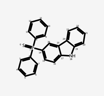 S=P(c1ccccc1)(c1ccccc1)c1ccc2[nH]c3ccccc3c2c1